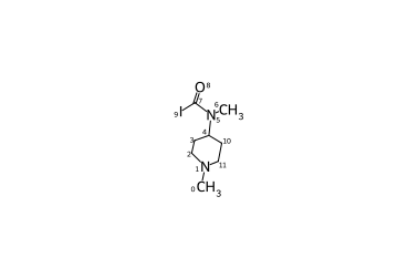 CN1CCC(N(C)C(=O)I)CC1